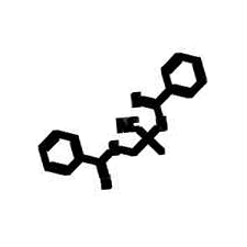 CC(C#N)(CSC(=S)c1ccccc1)SC(=S)c1ccccc1